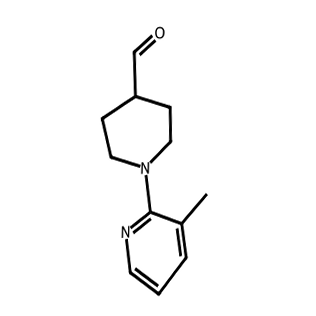 Cc1cccnc1N1CCC(C=O)CC1